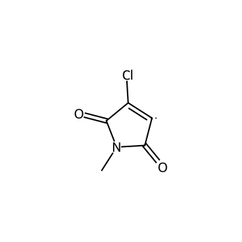 CN1C(=O)[C]=C(Cl)C1=O